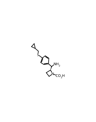 NC(c1ccc(SCC2CC2)cc1)[C@@H]1CCN1C(=O)O